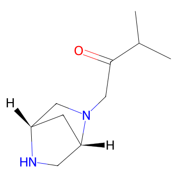 CC(C)C(=O)CN1C[C@@H]2C[C@H]1CN2